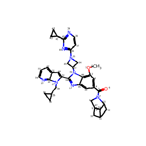 COc1cc(C(=O)N2CC3CC4CC2[C@H]43)cc2nc(-c3cc4cccnc4n3CC3CC3)n(C3CN(c4ccnc(C5CC5)n4)C3)c12